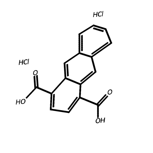 Cl.Cl.O=C(O)c1ccc(C(=O)O)c2cc3ccccc3cc12